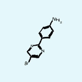 Nc1ccc(-c2ncc(Br)cn2)cc1